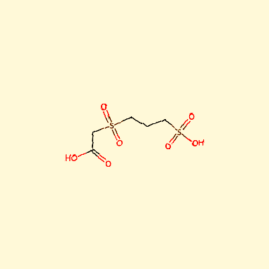 O=C(O)CS(=O)(=O)CCCS(=O)(=O)O